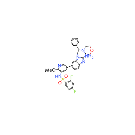 COc1ncc(-c2ccc3nc(N)n(CC(c4ccccc4)N4CCOCC4)c3c2)cc1NS(=O)(=O)c1ccc(F)cc1F